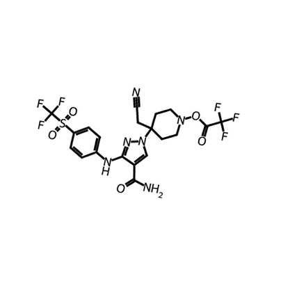 N#CCC1(n2cc(C(N)=O)c(Nc3ccc(S(=O)(=O)C(F)(F)F)cc3)n2)CCN(OC(=O)C(F)(F)F)CC1